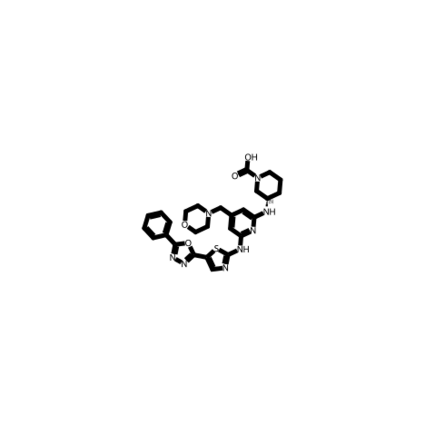 O=C(O)N1CCC[C@H](Nc2cc(CN3CCOCC3)cc(Nc3ncc(-c4nnc(-c5ccccc5)o4)s3)n2)C1